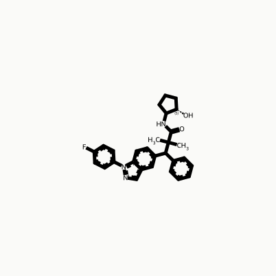 CC(C)(C(=O)NC1CCC[C@@H]1O)C(c1ccccc1)c1ccc2c(cnn2-c2ccc(F)cc2)c1